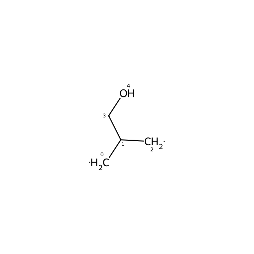 [CH2]C([CH2])CO